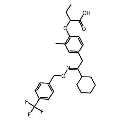 CCC(Oc1ccc(CC(=NOCc2ccc(C(F)(F)F)cc2)C2CCCCC2)cc1C)C(=O)O